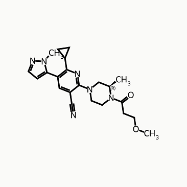 COCCC(=O)N1CCN(c2nc(C3CC3)c(-c3ccnn3C)cc2C#N)C[C@H]1C